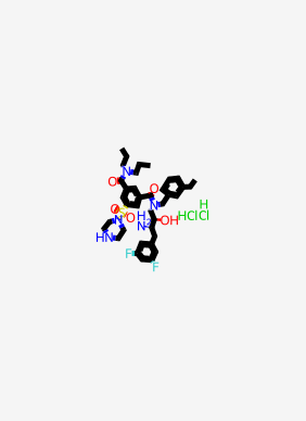 CCCN(CCC)C(=O)c1cc(C(=O)N(Cc2cccc(CC)c2)C[C@@H](O)[C@@H](N)Cc2cc(F)cc(F)c2)cc(S(=O)(=O)N2CCNCC2)c1.Cl.Cl